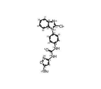 CC(C)(C)c1cc(NC(=O)Nc2ccc(-n3c(Cl)nc4ccccc43)cc2)no1